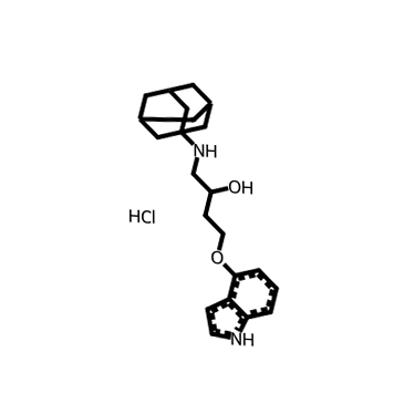 Cl.OC(CCOc1cccc2[nH]ccc12)CNC12CC3CC(CC(C3)C1)C2